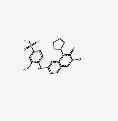 Cc1cc(S(C)(=O)=O)ccc1Nc1ncc2cc(Cl)c(=O)n(C3CCCC3)c2n1